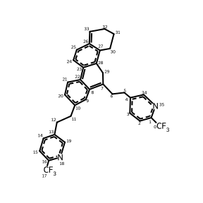 FC(F)(F)c1ccc(CCC2=c3cc(CCc4ccc(C(F)(F)F)nc4)ccc3=c3ccc4c(c3C2)CCCC=4)cn1